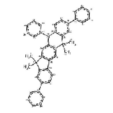 CC1(C)c2cc(-c3ccccc3)ccc2-c2cc3c(cc21)N(c1ccccc1)c1ccc(-c2ccccc2)cc1C3(C)C